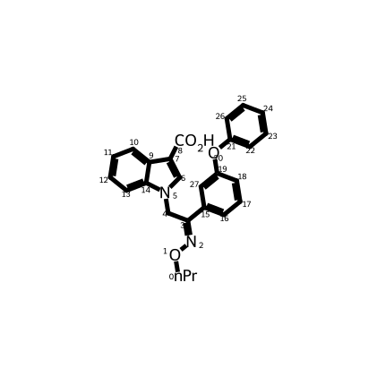 CCCO/N=C(\Cn1cc(C(=O)O)c2ccccc21)c1cccc(Oc2ccccc2)c1